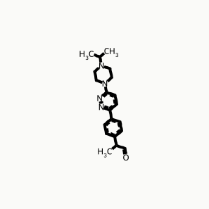 CC(C=O)c1ccc(-c2ccc(N3CCN(C(C)C)CC3)nn2)cc1